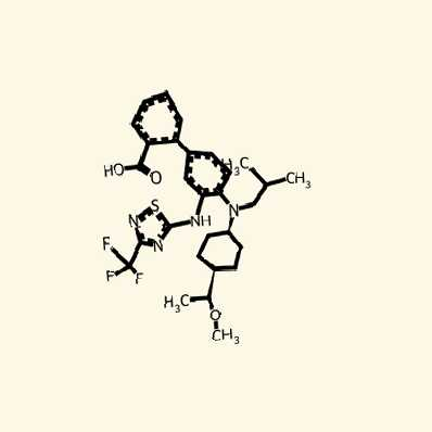 COC(C)[C@H]1CC[C@@H](N(CC(C)C)c2ccc(-c3ccccc3C(=O)O)cc2Nc2nc(C(F)(F)F)ns2)CC1